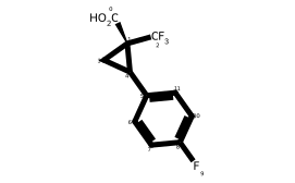 O=C(O)[C@]1(C(F)(F)F)CC1c1ccc(F)cc1